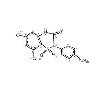 COc1ccc(N2C(=O)Nc3cc(Cl)cc(Cl)c3S2(=O)=O)cc1